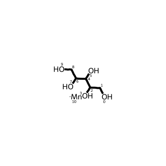 OCC(O)C(O)C(O)CO.[Mn]